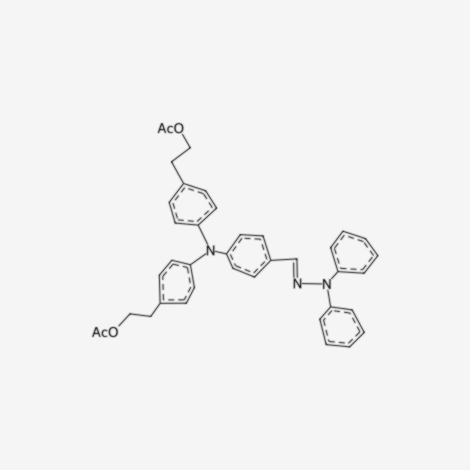 CC(=O)OCCc1ccc(N(c2ccc(C=NN(c3ccccc3)c3ccccc3)cc2)c2ccc(CCOC(C)=O)cc2)cc1